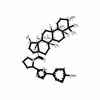 COc1ccc(-c2cnc(C3CCCN3C(=O)[C@]34CC[C@@H](C(C)C)[C@@H]3[C@H]3CC[C@@H]5[C@@]6(C)CC[C@H](O)C(C)(C)[C@@H]6CC[C@@]5(C)[C@]3(C)CC4)[nH]2)cc1